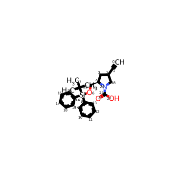 C#CC1C[C@H](CO[Si](c2ccccc2)(c2ccccc2)C(C)(C)C)N(C(=O)O)C1